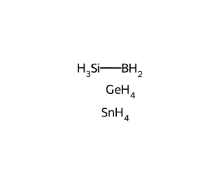 B[SiH3].[GeH4].[SnH4]